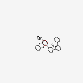 Brc1ccc(-c2cccc3c2sc2c(-c4ccccc4)cccc23)c2c1C1c3ccccc3C2c2ccccc21